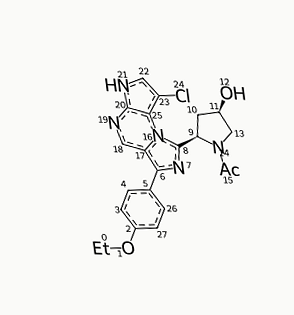 CCOc1ccc(-c2nc([C@H]3C[C@@H](O)CN3C(C)=O)n3c2cnc2[nH]cc(Cl)c23)cc1